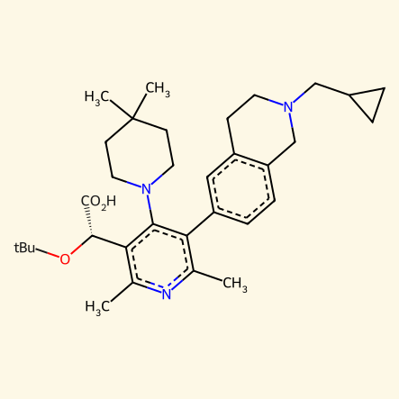 Cc1nc(C)c([C@H](OC(C)(C)C)C(=O)O)c(N2CCC(C)(C)CC2)c1-c1ccc2c(c1)CCN(CC1CC1)C2